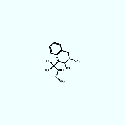 CCC(C)[C@@H](C(=O)C(C)(O)C(=O)OC(C)(C)C)N(C)Cc1ccccc1